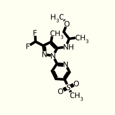 COCC(C)Nc1c(C)c(C(F)F)nn1-c1ccc(S(C)(=O)=O)cn1